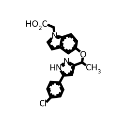 CC(Oc1ccc2c(ccn2CC(=O)O)c1)c1cc(-c2ccc(Cl)cc2)[nH]n1